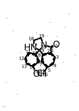 O=C1c2ccc(Cl)cc2C2(c3cccc(O)c3)NCCN12